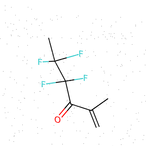 C=C(C)C(=O)C(F)(F)C(C)(F)F